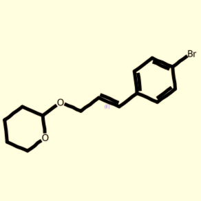 Brc1ccc(/C=C/COC2CCCCO2)cc1